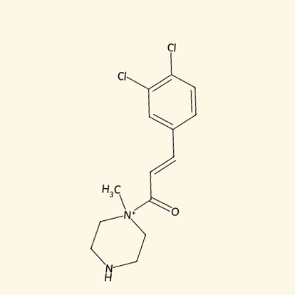 C[N+]1(C(=O)/C=C/c2ccc(Cl)c(Cl)c2)CCNCC1